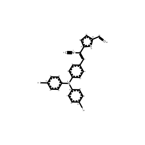 [C-]#[N+]/C(=C\c1ccc(N(c2ccc(I)cc2)c2ccc(I)cc2)cc1)c1ccc(C=O)s1